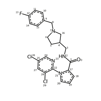 O=C(NCC1CCN(Cc2ccc(F)cc2)C1)c1cccn1-c1ncc(Cl)cc1Cl